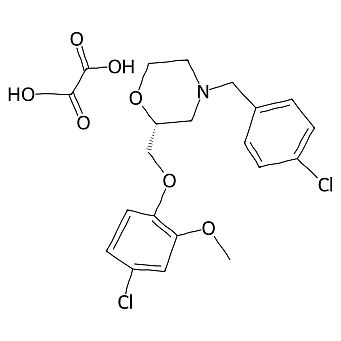 COc1cc(Cl)ccc1OC[C@H]1CN(Cc2ccc(Cl)cc2)CCO1.O=C(O)C(=O)O